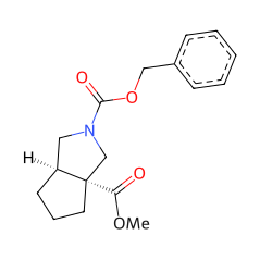 COC(=O)[C@]12CCC[C@H]1CN(C(=O)OCc1ccccc1)C2